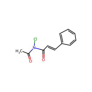 CC(=O)N(Cl)C(=O)/C=C/c1ccccc1